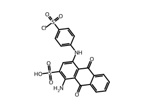 Nc1c(S(=O)(=O)O)cc(Nc2ccc(S(=O)(=O)Cl)cc2)c2c1C(=O)c1ccccc1C2=O